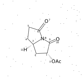 CC(=O)O[C@@H]1C[C@H]2CCC(=O)N2C1=O